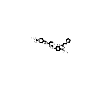 COc1ccc(Nc2nccc(NCC3CCN(C(C)=O)CC3)n2)cc1NC(=O)CCN1CCCC1